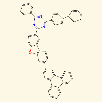 c1ccc(-c2ccc(-c3nc(-c4ccccc4)nc(-c4ccc5oc6cc(-c7ccc8c9ccccc9c9ccccc9c8c7)ccc6c5c4)n3)cc2)cc1